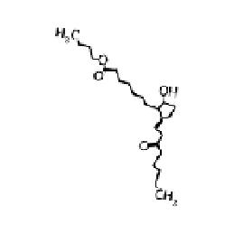 CCCCCC(=O)CC=C1CC[C@@H](O)[C@@H]1CCCCCCC(=O)OCCCC